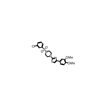 COc1ccc(-c2csc(N3CCN(S(=O)(=O)c4cccc(Cl)c4)CC3)n2)cc1OC